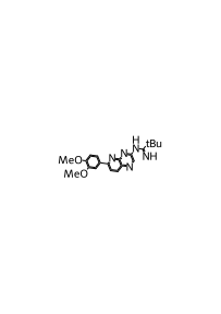 COc1ccc(-c2ccc3ncc(NC(=N)C(C)(C)C)nc3n2)cc1OC